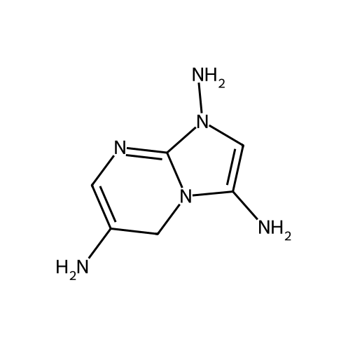 NC1=CN=C2N(N)C=C(N)N2C1